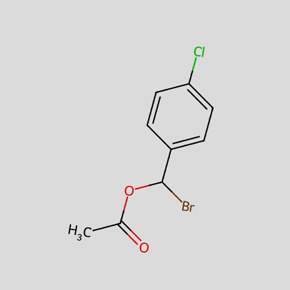 CC(=O)OC(Br)c1ccc(Cl)cc1